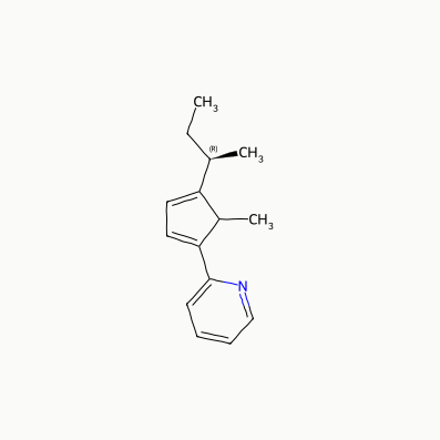 CC[C@@H](C)C1=CC=C(c2ccccn2)C1C